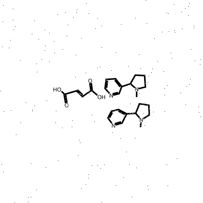 CN1CCCC1c1cccnc1.CN1CCCC1c1cccnc1.O=C(O)/C=C/C(=O)O